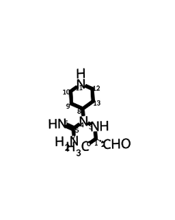 C[C@@H](C=O)NN(C(=N)N)C1CCNCC1